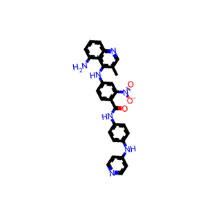 Cc1cnc2cccc(N)c2c1Nc1ccc(C(=O)Nc2ccc(Nc3ccncc3)cc2)c([N+](=O)[O-])c1